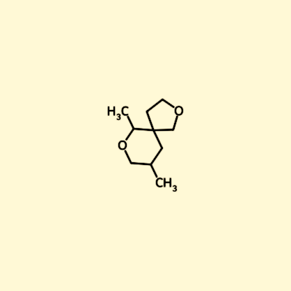 CC1COC(C)C2(CCOC2)C1